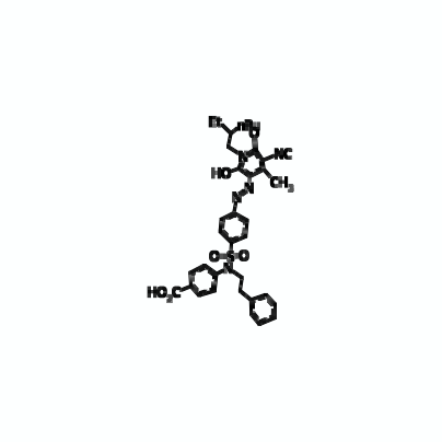 [C-]#[N+]c1c(C)c(/N=N/c2ccc(S(=O)(=O)N(CCc3ccccc3)c3ccc(C(=O)O)cc3)cc2)c(O)n(CC(CC)CCCC)c1=O